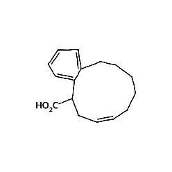 O=C(O)C1CC=CCCCCCc2ccccc21